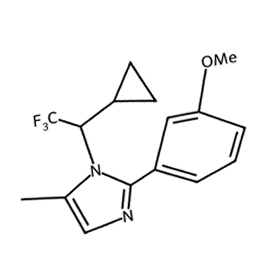 COc1cccc(-c2ncc(C)n2C(C2CC2)C(F)(F)F)c1